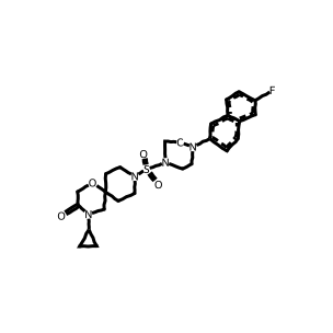 O=C1COC2(CCN(S(=O)(=O)N3CCN(c4ccc5cc(F)ccc5c4)CC3)CC2)CN1C1CC1